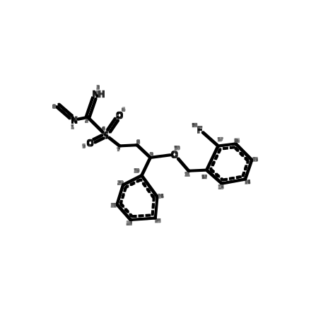 C=NC(=N)S(=O)(=O)CCC(OCc1ccccc1F)c1ccccc1